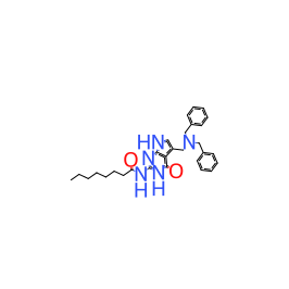 CCCCCCCC(=O)Nc1nc2[nH]cc(CN(Cc3ccccc3)Cc3ccccc3)c2c(=O)[nH]1